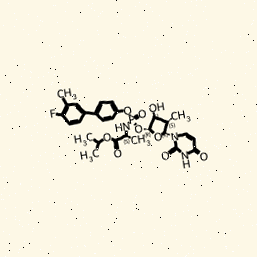 Cc1cc(-c2ccc(OP(=O)(N[C@@H](C)C(=O)OC(C)C)O[C@H]3O[C@@H](n4ccc(=O)[nH]c4=O)[C@@H](C)[C@@H]3O)cc2)ccc1F